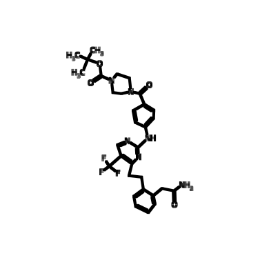 CC(C)(C)OC(=O)N1CCN(C(=O)c2ccc(Nc3ncc(C(F)(F)F)c(CCc4ccccc4CC(N)=O)n3)cc2)CC1